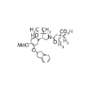 COc1ccc([C@@H]2CN(C(=O)CC(C)(C)C(=O)O)C[C@@]2(C)[C@@H](C)O)cc1OC1Cc2ccccc2C1